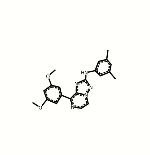 COc1cc(OC)cc(-c2nccn3nc(Nc4cc(C)cc(C)c4)nc23)c1